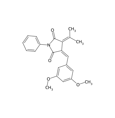 COc1cc(C=C2C(=O)N(c3ccccc3)C(=O)C2=C(C)C)cc(OC)c1